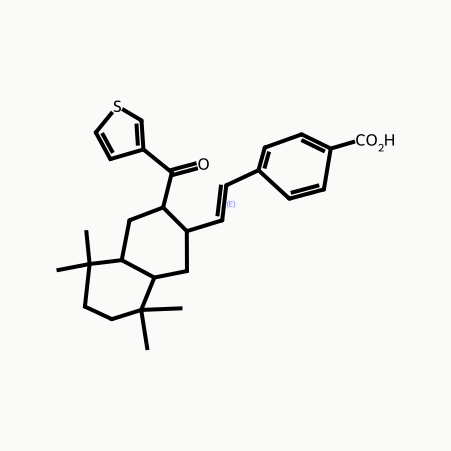 CC1(C)CCC(C)(C)C2CC(C(=O)c3ccsc3)C(/C=C/c3ccc(C(=O)O)cc3)CC21